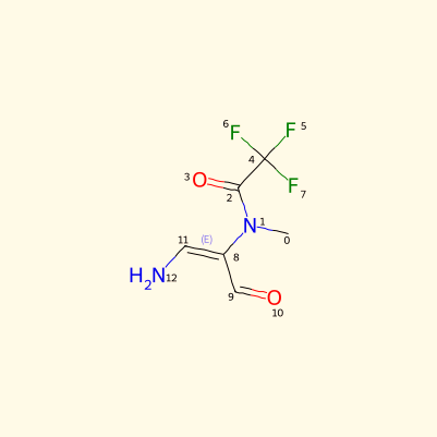 CN(C(=O)C(F)(F)F)/C(C=O)=C/N